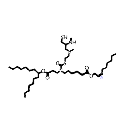 CCCCCC/C=C\COC(=O)CCCCCN(CCC(=O)OC(CCCCCCC)CCCCCCC)C(=O)SCCN(C)CC(CS)NC